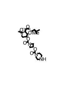 CO[C@@H]1[C@H](OC(=O)N2CC(OC(=O)N3CCNCC3)C2)CC[C@]2(CO2)[C@H]1[C@@]1(C)O[C@@H]1CC=C(C)C